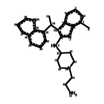 Cc1cccc2c1nc(NC1CCN(CCN)CC1)n2C(C)c1cccc2cccnc12